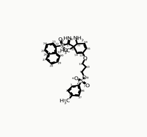 Cc1ccc(S(=O)(=O)OCCCOC2=CC(C)(C(=N)S(=O)(=O)c3cccc4ccccc34)C(N)C=C2)cc1